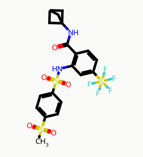 CS(=O)(=O)c1ccc(S(=O)(=O)Nc2cc(S(F)(F)(F)(F)F)ccc2C(=O)NC23CC(C2)C3)cc1